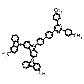 Cc1ccc(-c2cc(-c3ccc(-c4ccc(-n5c6ccc(-n7c8ccccc8c8cc(C)ccc87)cc6c6cc(-n7c8ccccc8c8cc(C)ccc87)ccc65)cc4)cc3)nc(-c3ccc(C)cc3)n2)cc1